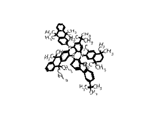 Cc1cc2c(cc1N1c3cc(C(C)(C)C)cc4c3B(c3cc5c(cc3N4c3ccc4c(c3)C(C)(C)c3ccccc3C4(C)C)C(C)(C)c3ccccc3C5(C)C)c3ccc4c(oc5ccc(C(C)(C)C)cc54)c31)C(C)(C)CCC2(C)C